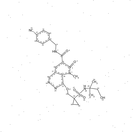 Cn1c(=O)c(C(=O)NCc2ccc(C#N)cc2)cc2cnnc(OCC3(S(=O)(=O)NC(C)(C)CO)CC3)c21